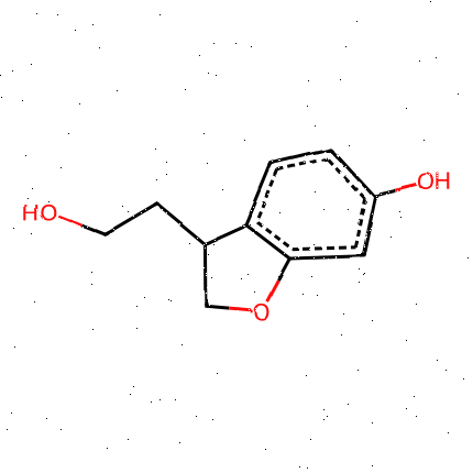 OCCC1COc2cc(O)ccc21